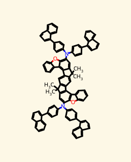 CC1(C)c2cc3c(cc2-c2c1cc(N(c1ccc(-c4cccc5ccccc45)cc1)c1ccc(-c4cccc5ccccc45)cc1)c1oc4ccccc4c21)C(C)(C)c1cc(N(c2ccc(-c4cccc5ccccc45)cc2)c2ccc(-c4cccc5ccccc45)cc2)c2oc4ccccc4c2c1-3